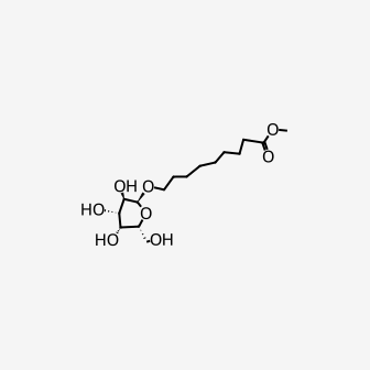 COC(=O)CCCCCCCCO[C@H]1O[C@H](CO)[C@H](O)[C@H](O)[C@H]1O